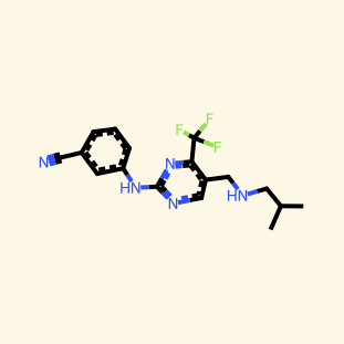 CC(C)CNCc1cnc(Nc2cccc(C#N)c2)nc1C(F)(F)F